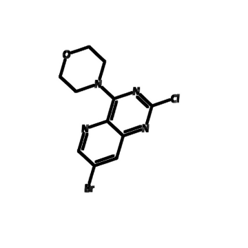 Clc1nc(N2CCOCC2)c2ncc(Br)cc2n1